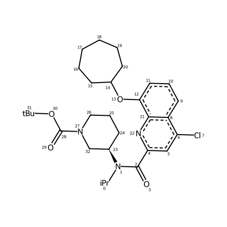 CC(C)N(C(=O)c1cc(Cl)c2cccc(OC3CCCCCC3)c2n1)[C@@H]1CCCN(C(=O)OC(C)(C)C)C1